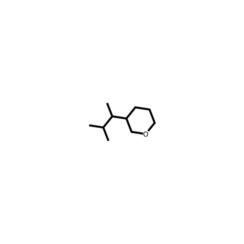 CC(C)C(C)C1CCCOC1